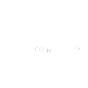 C=C(C)C(=O)O.CCCC(C)=O